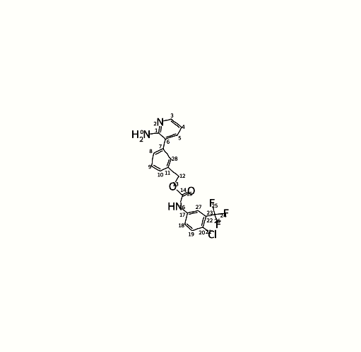 Nc1ncccc1-c1cccc(COC(=O)Nc2ccc(Cl)c(C(F)(F)F)c2)c1